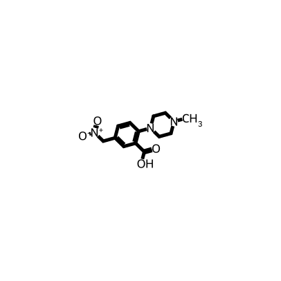 CN1CCN(c2ccc(C[N+](=O)[O-])cc2C(=O)O)CC1